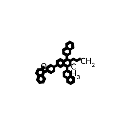 C=CCCC1C(C2=CC=C3C=CC=CC3C2)=c2ccc(C3C=c4oc5ccc6ccccc6c5c4=CC3)cc2=C(C2=Cc3ccccc3CC2)C1C